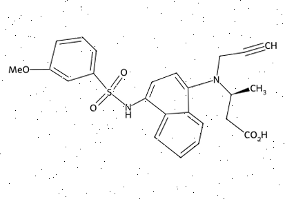 C#CCN(c1ccc(NS(=O)(=O)c2cccc(OC)c2)c2ccccc12)[C@@H](C)CC(=O)O